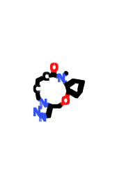 CN1C(=O)CCCCn2nncc2COc2ccccc21